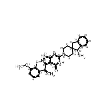 C=C(c1cccc(OC)c1F)c1n[nH]c2nc(N3CCC4(CC3)Cc3ccccc3[C@H]4N)[nH]c(=O)c12